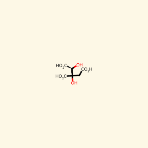 O=C(O)CC(O)(C(=O)O)[C@H](O)C(=O)O